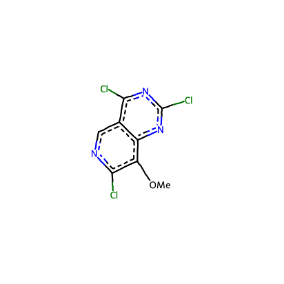 COc1c(Cl)ncc2c(Cl)nc(Cl)nc12